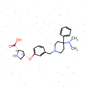 CN(C)C1(c2ccccc2)CCN(Cc2cccc(O[C@@H]3CN[C@H](C(=O)O)C3)c2)CC1